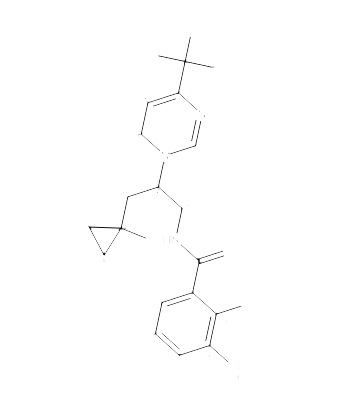 O=C(NCC(CC1(F)CC1)N1C=NC(C(F)(F)F)=CC1)c1cccc(Cl)c1Cl